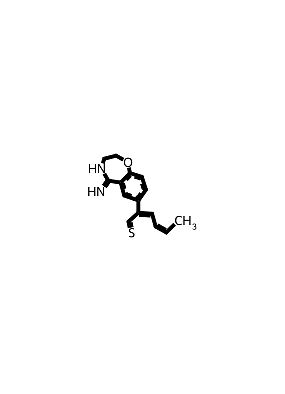 C/C=C\C=C(/C=S)c1ccc2c(c1)C(=N)NCCO2